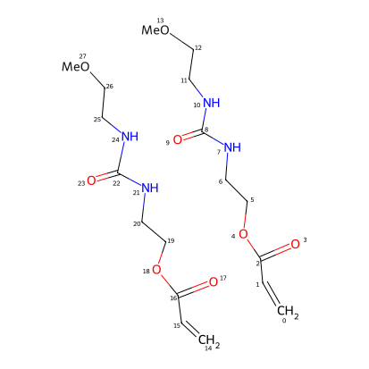 C=CC(=O)OCCNC(=O)NCCOC.C=CC(=O)OCCNC(=O)NCCOC